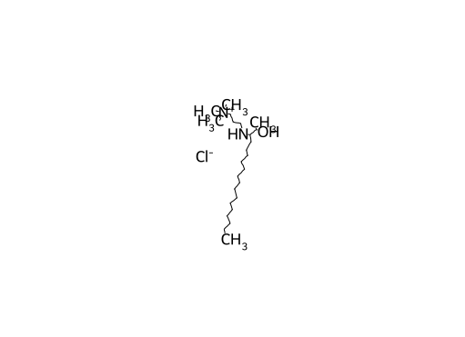 CCCCCCCCCCCCCCCC(NCCC[N+](C)(C)C)C(C)O.[Cl-]